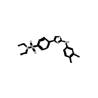 CCN(CC)S(=O)(=O)c1ccc(-c2csc(Nc3ccc(C)c(C)c3)n2)cc1